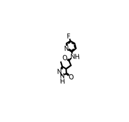 CC1=NNC(=O)C1CC(=O)Nc1ccc(F)cn1